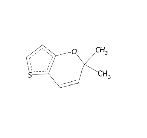 CC1(C)C=Cc2sccc2O1